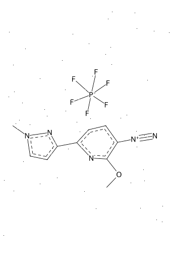 COc1nc(-c2ccn(C)n2)ccc1[N+]#N.F[P-](F)(F)(F)(F)F